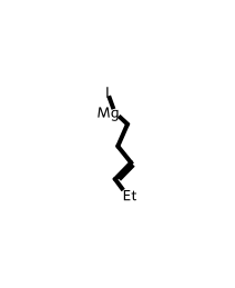 CCC=CC[CH2][Mg][I]